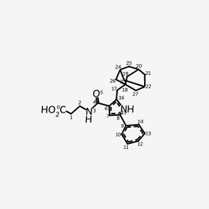 O=C(O)CCNC(=O)c1cc(-c2ccccc2)[nH]c1CC12CC3CC(CC(C3)C1)C2